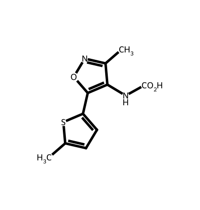 Cc1ccc(-c2onc(C)c2NC(=O)O)s1